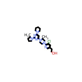 CC1CN(c2ncc(CCO)cc2Cl)CCN1c1cc(N2CCCCC2)nc(N2CCCC2C)n1